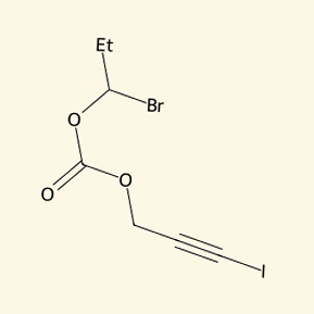 CCC(Br)OC(=O)OCC#CI